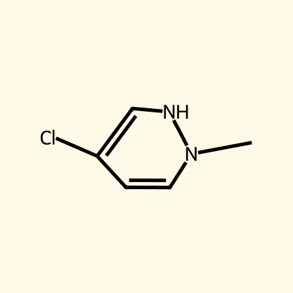 CN1C=CC(Cl)=CN1